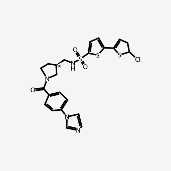 O=C(c1ccc(-n2ccnc2)cc1)N1CC[C@@H](CNS(=O)(=O)c2ccc(C3=CCC(Cl)S3)s2)C1